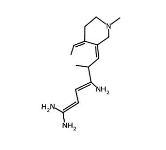 C/C=C1/CCN(C)C/C1=C/C(C)/C(N)=C/C=C(N)N